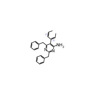 C/C=C\C(=C/C)c1c(N)nc(Cc2ccccc2)nc1Cc1ccccc1